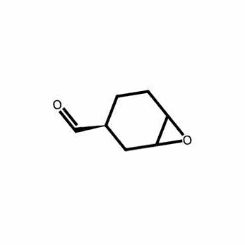 O=C[C@H]1CCC2OC2C1